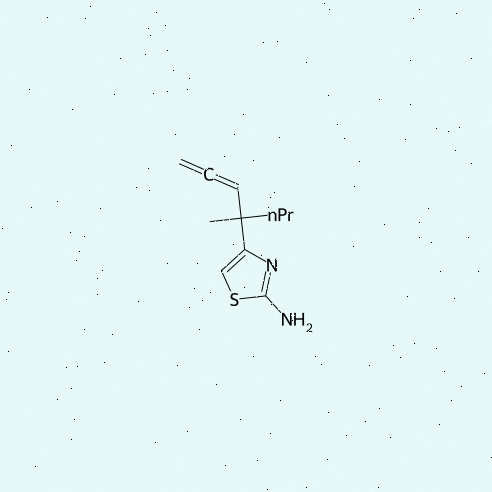 C=C=CC(C)(CCC)c1csc(N)n1